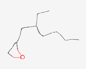 CCCCC(CC)CC1CO1